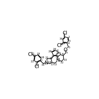 Clc1ccc(COCC2CCN(CC3CN(Cc4ccc(Cl)cc4Cl)CC3c3ccsc3)CC2)c(Cl)c1